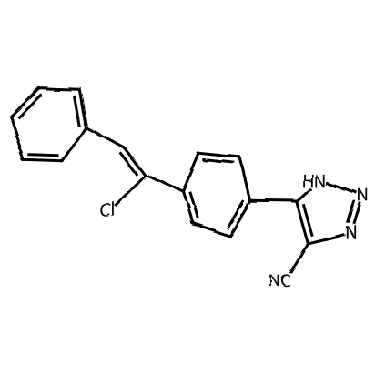 N#Cc1nn[nH]c1-c1ccc(C(Cl)=Cc2ccccc2)cc1